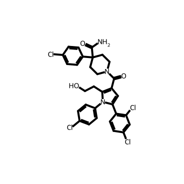 NC(=O)C1(c2ccc(Cl)cc2)CCN(C(=O)c2cc(-c3ccc(Cl)cc3Cl)n(-c3ccc(Cl)cc3)c2CCO)CC1